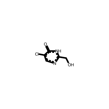 O=c1[nH]c(CO)ncc1Cl